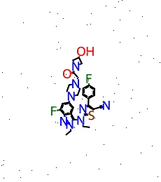 CCN(c1nc(-c2ccc(F)cc2)c(C#N)s1)c1c2cc(N3CCN(CC(=O)N4CC(O)C4)CC3)cc(F)c2nn1CC